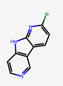 Brc1ccc2c(n1)[nH]c1ccncc12